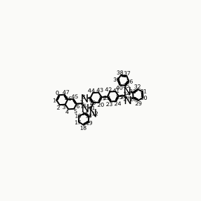 C1=CCC2CCC(c3nc4c(c5nc6c(n35)CCC=C6)C=C(C3=CC=C(c5nc6ccccc6n5-c5ccccc5)CC3)CC4)=CC2=C1